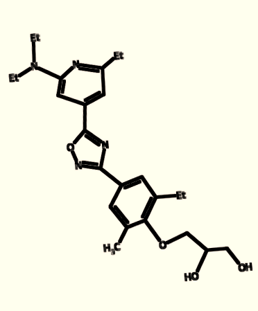 CCc1cc(-c2nc(-c3cc(C)c(OCC(O)CO)c(CC)c3)no2)cc(N(CC)CC)n1